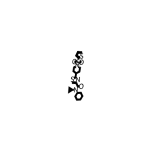 O=C(c1csc(C2CCN(S(=O)(=O)c3cccs3)CC2)n1)N(C1CCCCC1)C1CC1